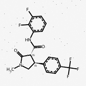 CN1C[C@H](c2ccc(C(F)(F)F)cc2)[C@@H](C(=O)Nc2cccc(F)c2F)C1=O